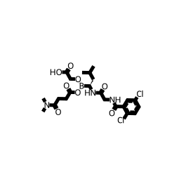 CC(C)C[C@H](NC(=O)CNC(=O)c1cc(Cl)ccc1Cl)B(OCC(=O)O)OC(=O)CCC(=O)N(C)C